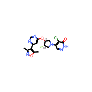 Cc1noc(C)c1-c1cc(O[C@H]2CN(c3cn[nH]c(=O)c3Cl)C[C@@H]2F)ncn1